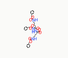 COC(=O)[C@H](CCCCNC(=O)OCc1ccccc1)NC(=O)[C@H](CCCCNC(=O)OCc1ccccc1)NC(=O)OCc1ccccc1